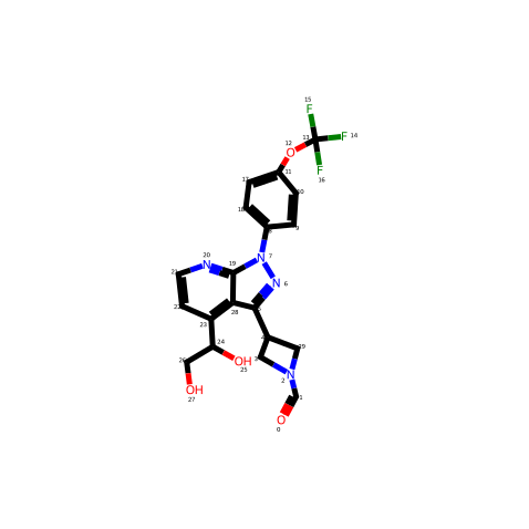 O=CN1CC(c2nn(-c3ccc(OC(F)(F)F)cc3)c3nccc(C(O)CO)c23)C1